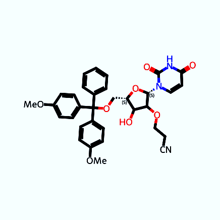 COc1ccc(C(OC[C@@H]2O[C@H](n3ccc(=O)[nH]c3=O)C(OCCC#N)C2O)(c2ccccc2)c2ccc(OC)cc2)cc1